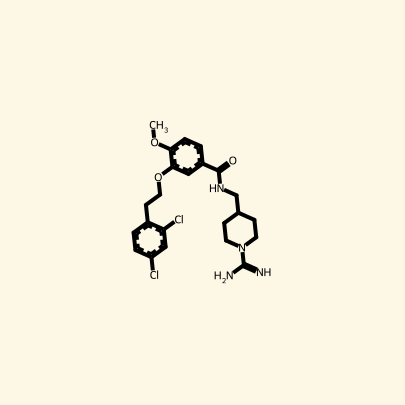 COc1ccc(C(=O)NCC2CCN(C(=N)N)CC2)cc1OCCc1ccc(Cl)cc1Cl